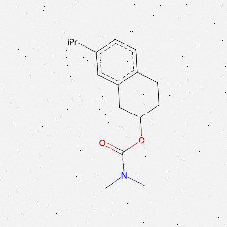 CC(C)c1ccc2c(c1)CC(OC(=O)N(C)C)CC2